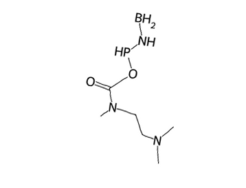 BNPOC(=O)N(C)CCN(C)C